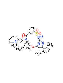 Cc1cccc(C)c1-c1cc2nc(n1)NS(=O)(=O)c1cccc(c1)C(=O)N([C@H]1C[C@]3(CCCCN3C)C1)[C@H](CC(C)C)CO2